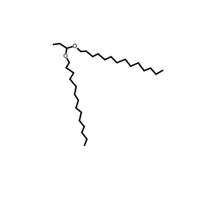 [CH2]CC(OCCCCCCCCCCCCCC)OCCCCCCCCCCCCCC